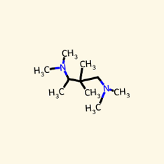 CC(N(C)C)C(C)(C)CN(C)C